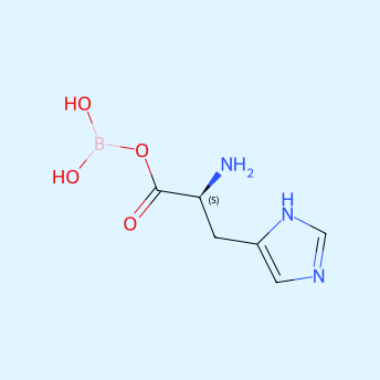 N[C@@H](Cc1cnc[nH]1)C(=O)OB(O)O